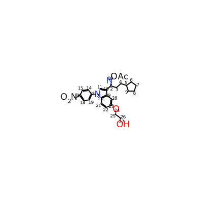 CC(=O)O/N=C(\CCC1CCCC1)c1cn(-c2ccc([N+](=O)[O-])cc2)c2ccc(OCCO)cc12